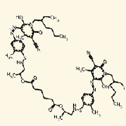 CCCCC(CC)Cn1c(O)c(N=Nc2ccc(SNCC(C)OC(=O)CCCCC(=O)OC(C)CNSc3ccc(/N=N\c4c(C)c(C#N)c(=O)n(CC(CC)CCCC)c4O)cc3C)c(C)c2)c(C)c(C#N)c1=O